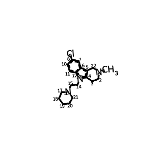 CN1CCc2c(c3cc(Cl)ccc3n2CCN2CCCCC2)C1